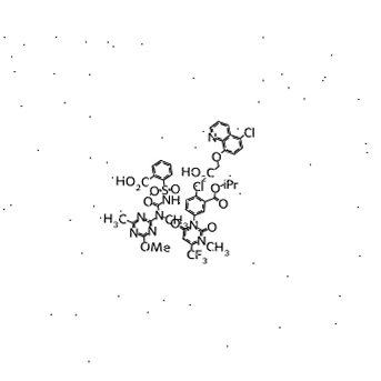 CC(C)OC(=O)c1cc(-n2c(=O)cc(C(F)(F)F)n(C)c2=O)ccc1Cl.COc1nc(C)nc(N(C)C(=O)NS(=O)(=O)c2ccccc2C(=O)O)n1.O=C(O)COc1ccc(Cl)c2cccnc12